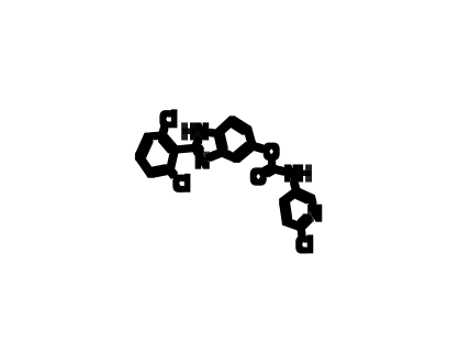 O=C(Nc1ccc(Cl)nc1)Oc1ccc2[nH]c(-c3c(Cl)cccc3Cl)nc2c1